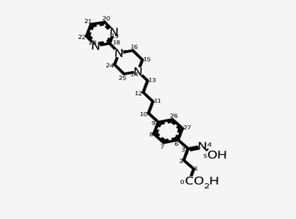 O=C(O)CCC(=NO)c1ccc(CCCCN2CCN(c3ncccn3)CC2)cc1